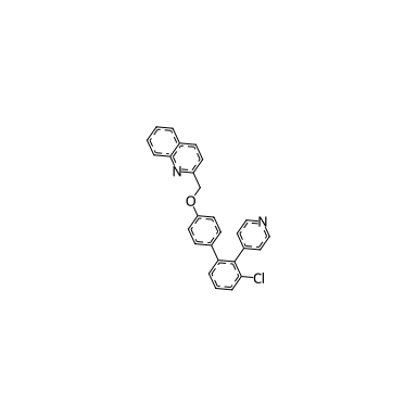 Clc1cccc(-c2ccc(OCc3ccc4ccccc4n3)cc2)c1-c1ccncc1